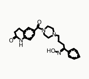 O=C1CCc2cc(C(=O)N3CCN(CCCC(=NO)c4ccccc4)CC3)ccc2N1